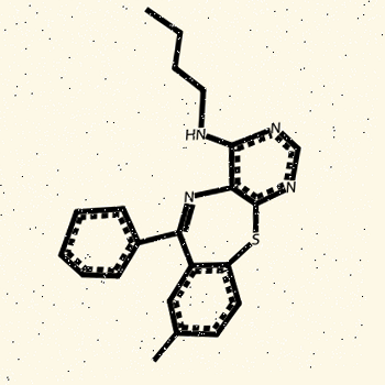 CCCCNc1ncnc2c1N=C(c1ccccc1)c1cc(C)ccc1S2